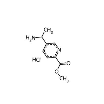 COC(=O)c1ccc(C(C)N)cn1.Cl